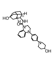 O=C(NC1[C@@H]2CC3C[C@H]1CC(O)(C3)C2)N1CCN(c2ccc(N3CCC(O)CC3)cc2)c2ccccc21